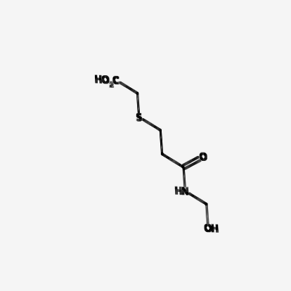 O=C(O)CSCCC(=O)NCO